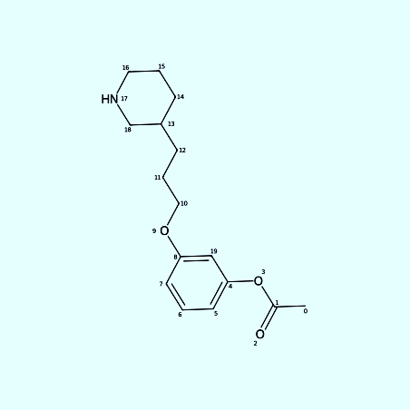 CC(=O)Oc1cccc(OCCCC2CCCNC2)c1